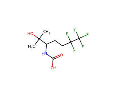 CC(C)(O)C(CCC(F)(F)C(F)(F)F)NC(=O)O